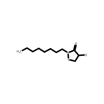 CCCCCCCCN1SCC(Cl)C1=O